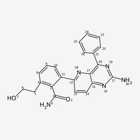 NC(=O)c1c(CCO)cccc1-c1ccc2nc(N)nc(-c3ccccc3)c2n1